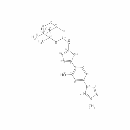 Cc1ccn(-c2ccc(-c3nnc(OC4CC5CCC(C)C(C)(C4)N5C)s3)c(O)c2)n1